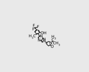 Cc1cc(C(F)(F)F)cc(O)c1-c1cnc2cn([C@H]3CCC(=O)N(C(C)C)C3)nc2n1